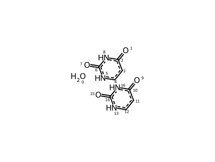 O.O=c1cc[nH]c(=O)[nH]1.O=c1cc[nH]c(=O)[nH]1